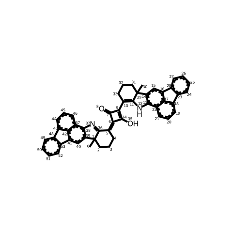 CC12CCC/C(=C3/C(=O)C(C4=C5Nc6c(cc7c8c(cccc68)-c6ccccc6-7)C5(C)CCC4)=C3O)C1=Nc1c2cc2c3c(cccc13)-c1ccccc1-2